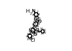 Nc1ccc(CS(=O)(=O)N2CCN(c3cnn(-c4cccc(Cl)c4)c(=O)c3OCC3CCCC3)CC2)cc1